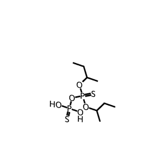 CCC(C)OP(=S)(OC(C)CC)OP(O)(O)=S